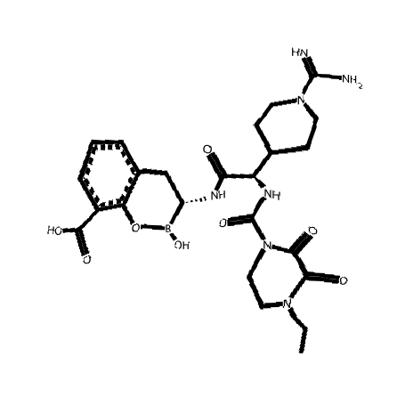 CCN1CCN(C(=O)N[C@@H](C(=O)N[C@H]2Cc3cccc(C(=O)O)c3OB2O)C2CCN(C(=N)N)CC2)C(=O)C1=O